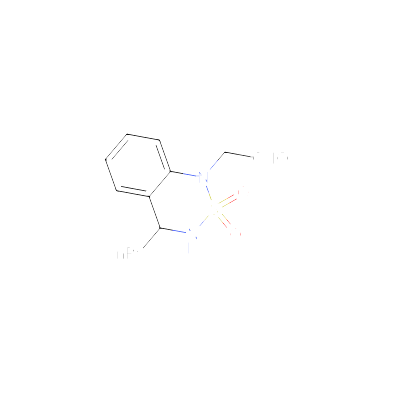 CCCC1NS(=O)(=O)N(CC=O)c2ccccc21